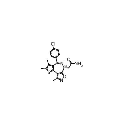 Cc1noc2c1-c1sc(C)c(C)c1C(c1ccc(Cl)cc1)=N[C@H]2CC(N)=O